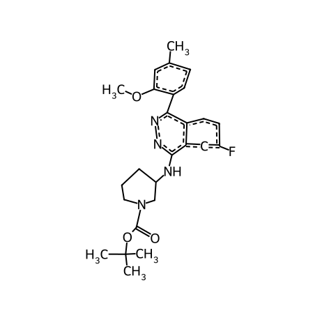 COc1cc(C)ccc1-c1nnc(NC2CCCN(C(=O)OC(C)(C)C)C2)c2cc(F)ccc12